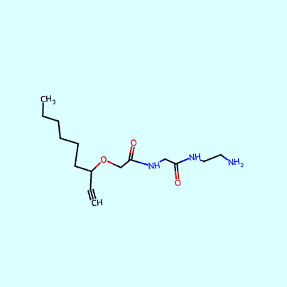 C#CC(CCCCCC)OCC(=O)NCC(=O)NCCN